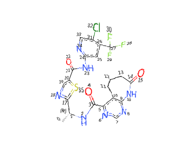 C[C@@H](NC(=O)c1ncnc2c1CCCC(=O)N2)c1ncc(C(=O)Nc2cc(C(F)(F)F)c(Cl)cn2)s1